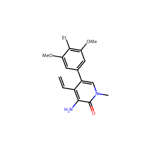 C=Cc1c(-c2cc(OC)c(CC)c(OC)c2)cn(C)c(=O)c1N